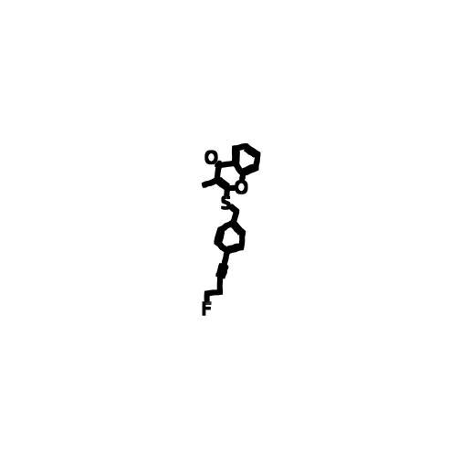 Cc1c(SCc2ccc(C#CCCF)cc2)oc2ccccc2c1=O